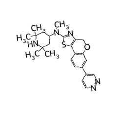 CN(c1nc2c(s1)-c1ccc(-c3ccnnc3)cc1OC2)C1CC(C)(C)NC(C)(C)C1